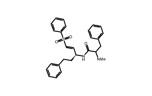 CNC(Cc1ccccc1)C(=O)N[C@H](/C=C/S(=O)(=O)c1ccccc1)CCc1ccccc1